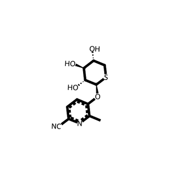 Cc1nc(C#N)ccc1O[C@@H]1SC[C@@H](O)[C@H](O)[C@H]1O